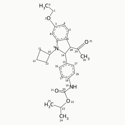 CCOc1ccc2c(c1)N(C1CCC1)C(c1ccc(NC(=O)OC(C)C)cc1)C2C(C)=O